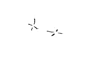 CC[N+](CC)(CC)CC.F[B-](F)(C(F)(F)F)C(F)(F)F